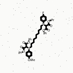 COc1ccc(N(CCCCCCCCCCN(c2ccc(F)cc2)C(C(=O)OC(C)C)C(=O)OC(C)C)C(C(=O)OC(C)C)C(=O)OC(C)C)cc1